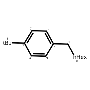 [CH2]CCCCCCc1ccc(C(C)(C)C)cc1